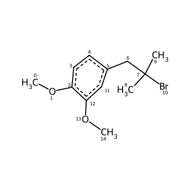 COc1ccc(CC(C)(C)Br)cc1OC